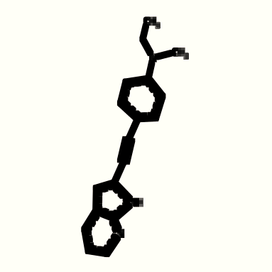 CCN(C)c1ccc(C#Cc2cc3cccnc3[nH]2)cc1